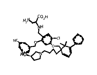 CC1(C)C(c2ccccc2)=CC=CC1(CCCCN1CC[C@@H](O)C1)COc1cc(OCc2cncc(C#N)c2)c(CNC(CN)C(=O)O)cc1Cl